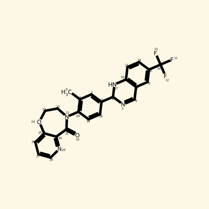 Cc1cc(C2N=Cc3cc(C(F)(F)F)ccc3N2)ccc1N1CCOc2cccnc2C1=O